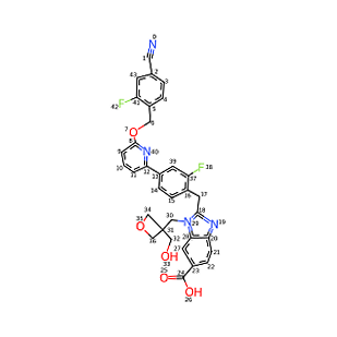 N#Cc1ccc(COc2cccc(-c3ccc(Cc4nc5ccc(C(=O)O)cc5n4CC4(CO)COC4)c(F)c3)n2)c(F)c1